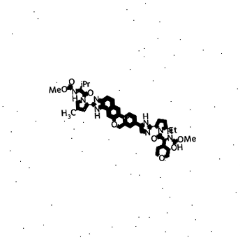 CC[C@H]1CC[C@@H](c2ncc(-c3ccc4c(c3)COc3cc5c(ccc6nc([C@@H]7C[C@H](C)CN7C(=O)[C@@H](NC(=O)OC)C(C)C)[nH]c65)cc3-4)[nH]2)N1C(=O)[C@@H](NC(O)OC)C1CCOCC1